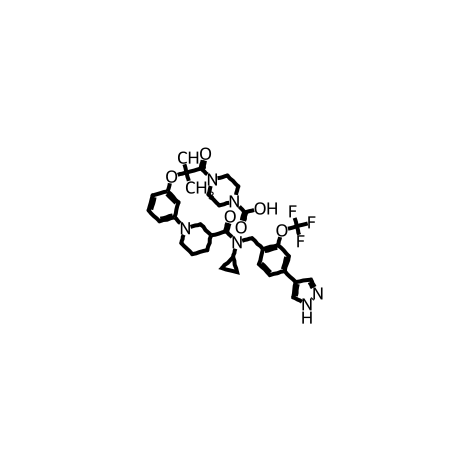 CC(C)(Oc1cccc(N2CCCC(C(=O)N(Cc3ccc(-c4cn[nH]c4)cc3OC(F)(F)F)C3CC3)C2)c1)C(=O)N1CCN(C(=O)O)CC1